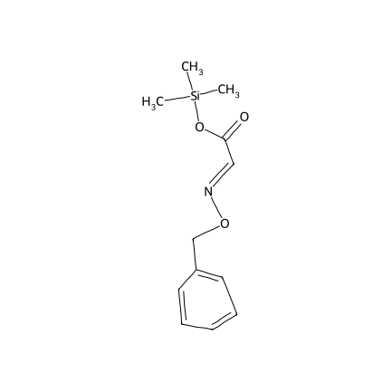 C[Si](C)(C)OC(=O)C=NOCc1ccccc1